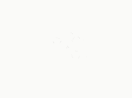 Cc1ccc(O[N+](=O)Oc2ccc(C)c(Br)c2)cc1Br.N=C(N)N